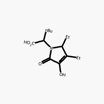 CCCCC(C(=O)O)N1C(=O)C(O)=C(CC)C1CC